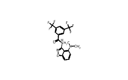 CN(C)c1cccc2onc(NC(=O)c3cc(C(F)(F)F)cc(C(F)(F)F)c3)c12